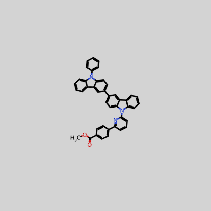 COC(=O)c1ccc(-c2cccc(-n3c4ccccc4c4cc(-c5ccc6c(c5)c5ccccc5n6-c5ccccc5)ccc43)n2)cc1